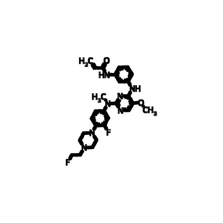 C=CC(=O)Nc1cccc(Nc2nc(N(C)c3ccc(N4CCN(CCF)CC4)c(F)c3)ncc2OC)c1